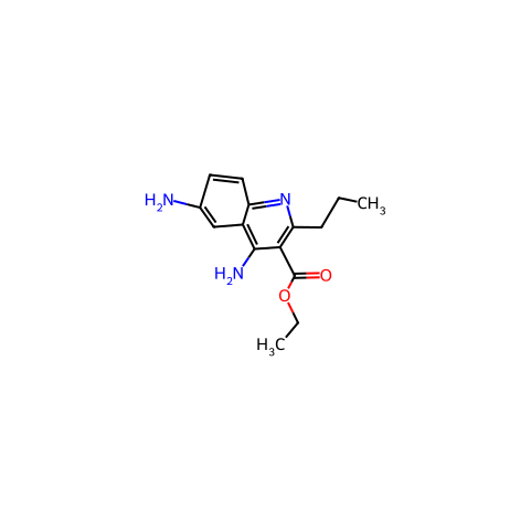 CCCc1nc2ccc(N)cc2c(N)c1C(=O)OCC